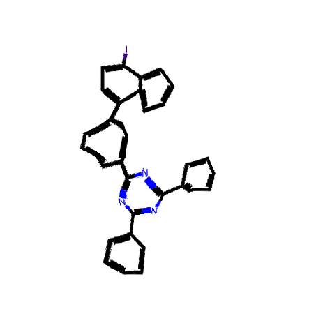 Ic1ccc(-c2cccc(-c3nc(-c4ccccc4)nc(-c4ccccc4)n3)c2)c2ccccc12